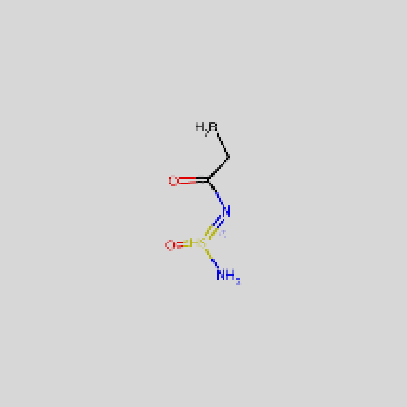 BCC(=O)/N=[SH](/N)=O